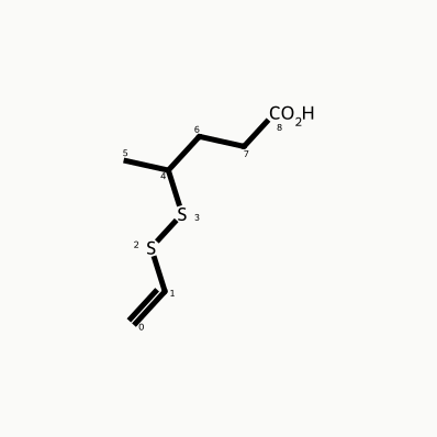 C=CSSC(C)CCC(=O)O